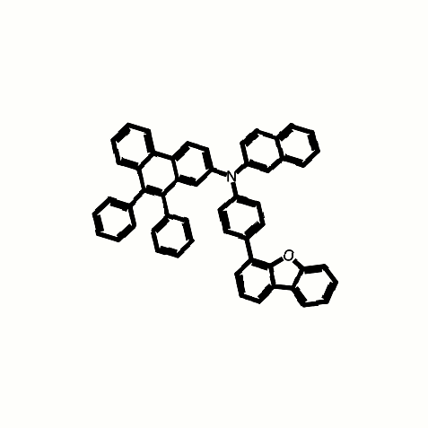 c1ccc(-c2c(-c3ccccc3)c3cc(N(c4ccc(-c5cccc6c5oc5ccccc56)cc4)c4ccc5ccccc5c4)ccc3c3ccccc23)cc1